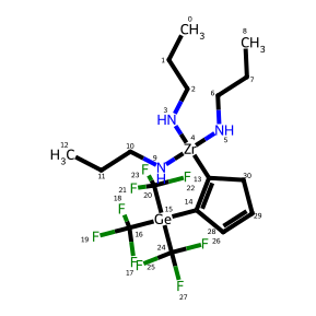 CCC[NH][Zr]([NH]CCC)([NH]CCC)[C]1=[C]([Ge]([C](F)(F)F)([C](F)(F)F)[C](F)(F)F)C=CC1